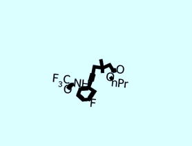 CCCOC(=O)CC(C)(C)CC#Cc1cc(F)ccc1NC(=O)C(F)(F)F